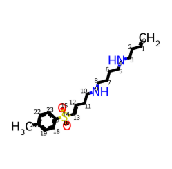 C=CCCNCCCCNCCC=CS(=O)(=O)c1ccc(C)cc1